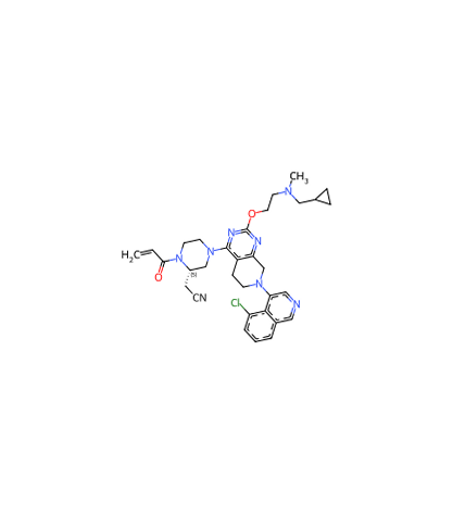 C=CC(=O)N1CCN(c2nc(OCCN(C)CC3CC3)nc3c2CCN(c2cncc4cccc(Cl)c24)C3)C[C@@H]1CC#N